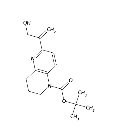 C=C(CO)c1ccc2c(n1)CCCN2C(=O)OC(C)(C)C